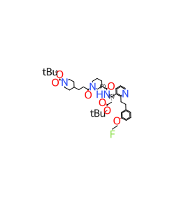 CC(C)(C)OC(=O)C[C@H](NC(=O)[C@@H]1CCCN(C(=O)CCC2CCN(C(=O)OC(C)(C)C)CC2)C1)c1cccnc1CCc1cccc(OCCF)c1